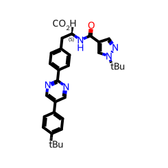 CC(C)(C)c1ccc(-c2cnc(-c3ccc(C[C@H](NC(=O)c4cnn(C(C)(C)C)c4)C(=O)O)cc3)nc2)cc1